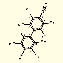 [C-]#[N+]c1c(F)c(F)c(-c2c(F)c(F)c(F)c(F)c2F)c(F)c1F